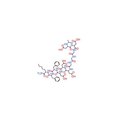 CCCCCC(NC(=O)C(Cc1ccccc1)NC(=O)C(Cc1ccccc1)NC(=O)C(CC(=O)O)NC(=O)C(CC(=O)O)NC(=O)C(CC(=O)O)NC(=O)CNC(=O)CNC(=O)CNC(=O)C(CC(=O)O)NC(=O)C(CC(=O)O)NC(C)C)C(N)=O